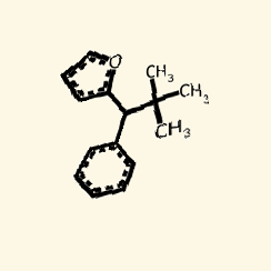 CC(C)(C)C(c1ccccc1)c1ccco1